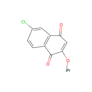 CC(C)OC1=CC(=O)c2cc(Cl)ccc2C1=O